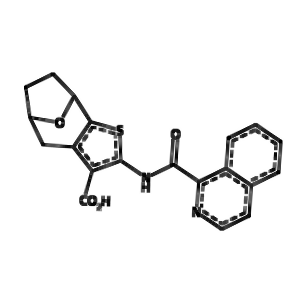 O=C(O)c1c(NC(=O)c2nccc3ccccc23)sc2c1CC1CCC2O1